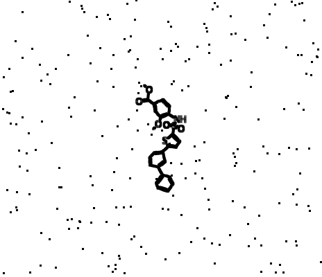 COC(=O)c1ccc(NS(=O)(=O)c2ccc(-c3cccc(-c4ccccc4)c3)s2)c(OC)c1